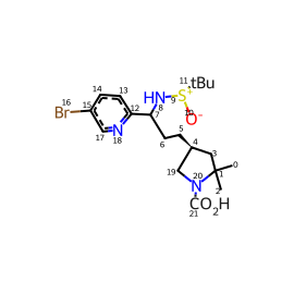 CC1(C)C[C@H](CCC(N[S+]([O-])C(C)(C)C)c2ccc(Br)cn2)CN1C(=O)O